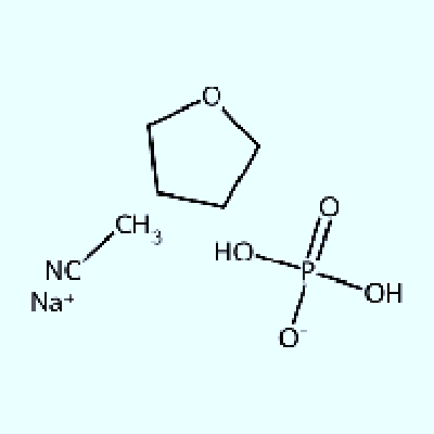 C1CCOC1.CC#N.O=P([O-])(O)O.[Na+]